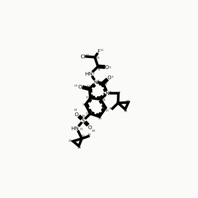 CC1(Cn2c(=O)n(NC(=O)C(F)Cl)c(=O)c3cc(S(=O)(=O)NC4(C)CC4)ccc32)CC1